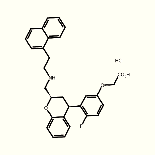 Cl.O=C(O)COc1ccc(F)c([C@@H]2C[C@H](CNCCc3cccc4ccccc34)Oc3ccccc32)c1